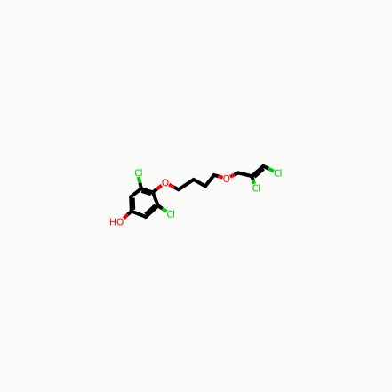 Oc1cc(Cl)c(OCCCCOC/C(Cl)=C/Cl)c(Cl)c1